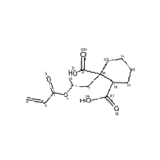 C=CC(=O)OC(C)CC1(C(=O)O)CCCCC1C(=O)O